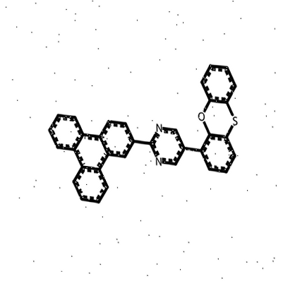 c1ccc2c(c1)Oc1c(cccc1-c1cnc(-c3ccc4c5ccccc5c5ccccc5c4c3)nc1)S2